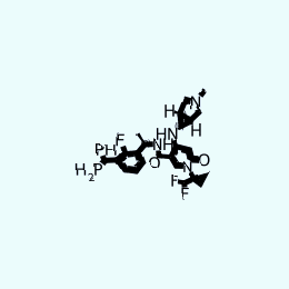 C[C@@H](NC(=O)c1cn(C2(C(F)F)CC2)c(=O)cc1N[C@@H]1[C@@H]2CN(C)C[C@@H]21)c1cccc(C(P)P)c1F